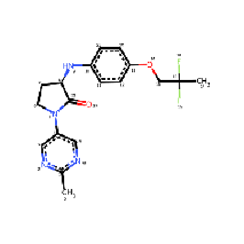 Cc1ncc(N2CC[C@@H](Nc3ccc(OCC(C)(F)F)cc3)C2=O)cn1